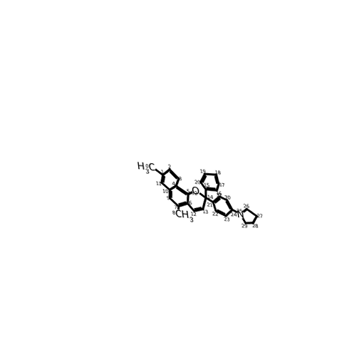 Cc1ccc2c3c(c(C)cc2c1)C=CC(c1ccccc1)(c1ccc(N2CCCC2)cc1)O3